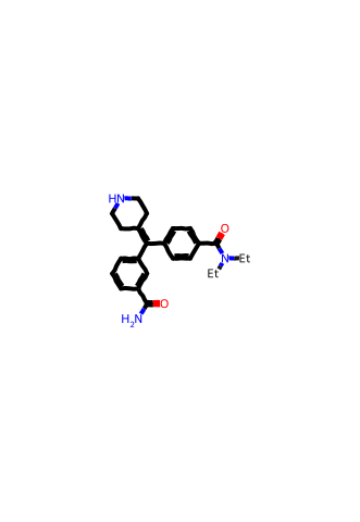 CCN(CC)C(=O)c1ccc(C(=C2CCNCC2)c2cccc(C(N)=O)c2)cc1